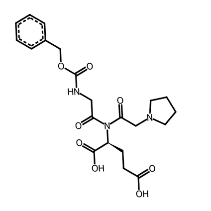 O=C(O)CC[C@@H](C(=O)O)N(C(=O)CNC(=O)OCc1ccccc1)C(=O)CN1CCCC1